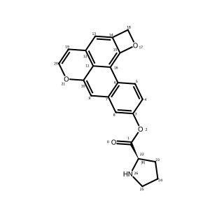 O=C(Oc1ccc2c(c1)cc1c3c(cc4c(c32)OC4)C=CO1)[C@H]1CCCN1